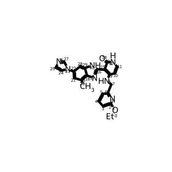 CCOc1cccc(CNc2cc[nH]c(=O)c2-c2nc3c(C)cc(-n4ccnc4)cc3[nH]2)n1